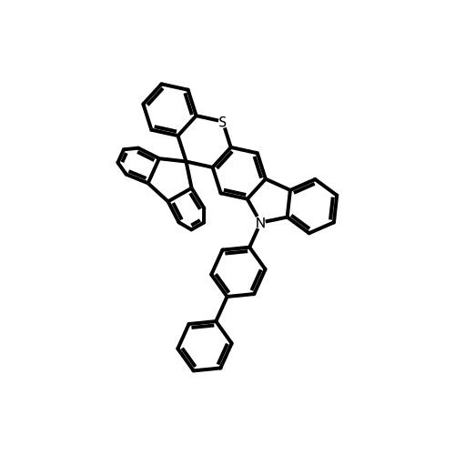 c1ccc(-c2ccc(-n3c4ccccc4c4cc5c(cc43)C3(c4ccccc4S5)c4ccccc4-c4ccccc43)cc2)cc1